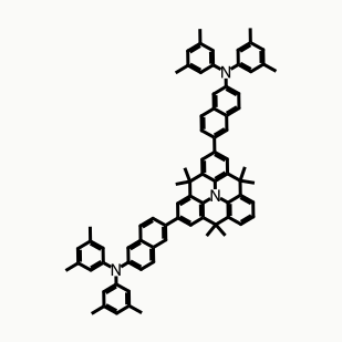 Cc1cc(C)cc(N(c2cc(C)cc(C)c2)c2ccc3cc(-c4cc5c6c(c4)C(C)(C)c4cc(-c7ccc8cc(N(c9cc(C)cc(C)c9)c9cc(C)cc(C)c9)ccc8c7)cc7c4N6c4c(cccc4C7(C)C)C5(C)C)ccc3c2)c1